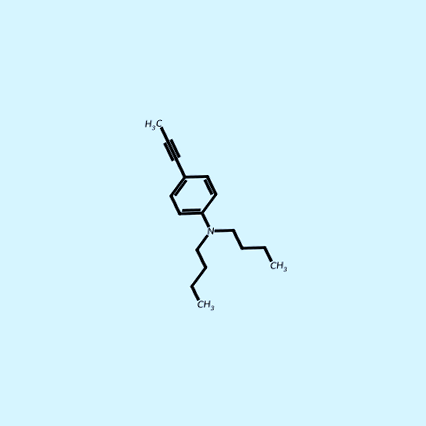 CC#Cc1ccc(N(CCCC)CCCC)cc1